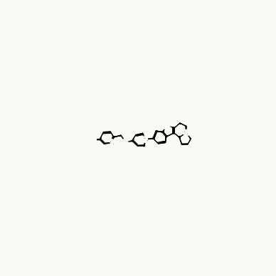 O=c1cc(OCc2ccc(C(F)(F)F)cn2)ccn1-c1ccc2c3c(oc2c1)CCN1CCCC31